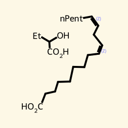 CCC(O)C(=O)O.CCCCC/C=C\C/C=C\CCCCCCCC(=O)O